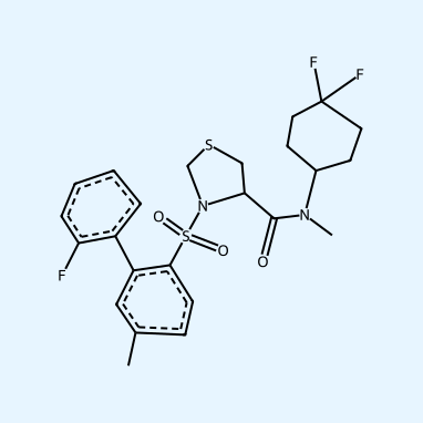 Cc1ccc(S(=O)(=O)N2CSCC2C(=O)N(C)C2CCC(F)(F)CC2)c(-c2ccccc2F)c1